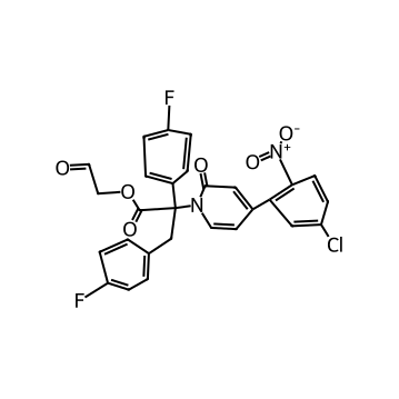 O=CCOC(=O)C(Cc1ccc(F)cc1)(c1ccc(F)cc1)n1ccc(-c2cc(Cl)ccc2[N+](=O)[O-])cc1=O